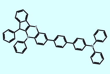 c1ccc(C2C3=C(Sc4cc(-c5ccc(-c6ccc(N(c7ccccc7)c7ccccc7)cc6)cc5)ccc4N3c3ccccc3)c3ccccc32)cc1